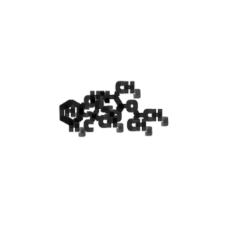 CC(C)OC(=O)[C@H](C)N[P@@](=S)(Oc1ccccc1)C(C)(C)C